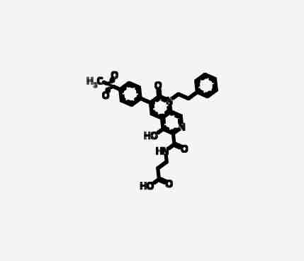 CS(=O)(=O)c1ccc(-c2cc3c(O)c(C(=O)NCCC(=O)O)ncc3n(CCc3ccccc3)c2=O)cc1